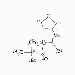 CCC(OC(=O)C(C)(C)CC)OC1CCCC1